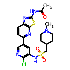 CC(=O)Nc1nc2ccc(-c3cnc(Cl)c(NS(=O)(=O)CC4CCN(C)CC4)c3)nc2s1